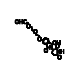 O=CCOCCOCCOc1ccc2c(c1)C(=O)N(C1CCC(=O)NC1=O)C2O